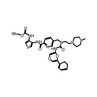 CN1CCN(CCN(Cc2ccc(C(=O)Nc3cscc3NC(=O)OC(C)(C)C)nc2)C(=O)NC2=COC=C(C3=CC=CCC3)O2)CC1